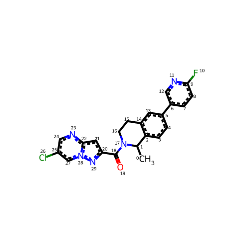 CC1c2ccc(-c3ccc(F)nc3)cc2CCN1C(=O)c1cc2ncc(Cl)cn2n1